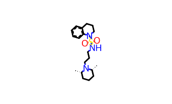 C[C@@H]1CCC[C@H](C)N1CCCNS(=O)(=O)N1CCCc2ccccc21